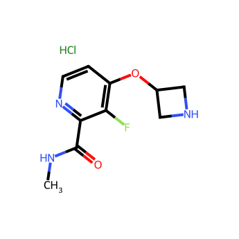 CNC(=O)c1nccc(OC2CNC2)c1F.Cl